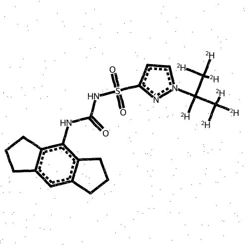 [2H]C([2H])([2H])C([2H])(n1ccc(S(=O)(=O)NC(=O)Nc2c3c(cc4c2CCC4)CCC3)n1)C([2H])([2H])[2H]